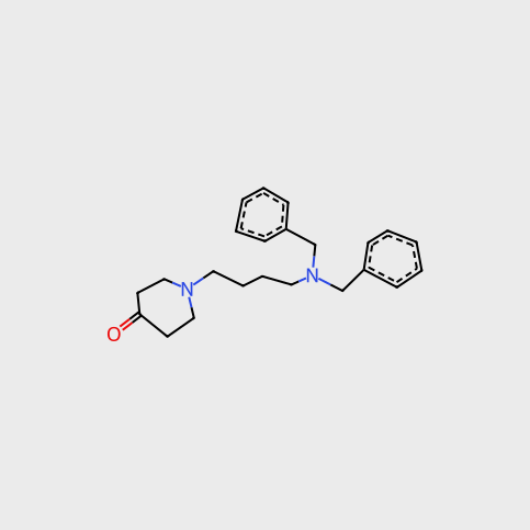 O=C1CCN(CCCCN(Cc2ccccc2)Cc2ccccc2)CC1